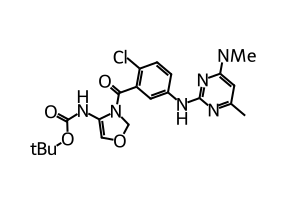 CNc1cc(C)nc(Nc2ccc(Cl)c(C(=O)N3COC=C3NC(=O)OC(C)(C)C)c2)n1